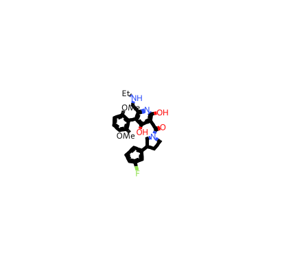 CCNCc1nc(O)c(C(=O)N2CCC(c3cccc(F)c3)C2)c(O)c1-c1c(OC)cccc1OC